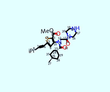 COC(=O)c1sc(C#CC(C)C)cc1N(CC(=O)N1CCNCC1)C(=O)[C@H]1CC[C@H](C)CC1